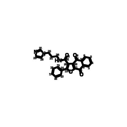 O=C1c2ccccc2C(=O)c2c1oc(-c1ccccc1)c2C(=O)NCCCn1ccnc1